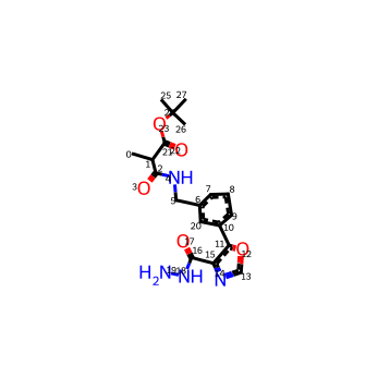 CC(C(=O)NCc1cccc(-c2ocnc2C(=O)NN)c1)C(=O)OC(C)(C)C